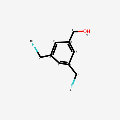 OCc1cc(CF)cc(CF)c1